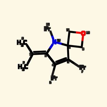 CC(C)=C1C(C(C)C)=C(C(C)C)C2(COC2)N1C(C)C